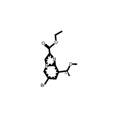 CCOC(=O)c1cn2cc(Br)cc([C@H](C)OC)c2n1